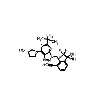 C#Cc1cccc(C2(C(F)(F)F)NN2)c1Cn1nnc2c(N3CC[C@H](O)C3)nc(C(C)(C)C)nc21